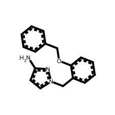 Nc1ccn(Cc2ccccc2OCc2ccccc2)n1